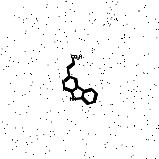 O=C(O)C=Cc1cc2c(cn1)[nH]c1ccccc12